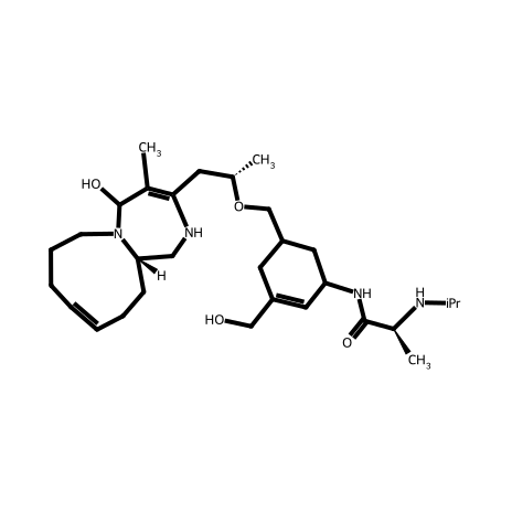 CC1=C(C[C@H](C)OCC2CC(CO)=CC(NC(=O)[C@H](C)NC(C)C)C2)NC[C@@H]2CC/C=C\CCCN2C1O